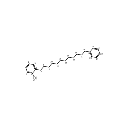 Oc1ccccc1CCCCCCCCCCCCc1ccccc1